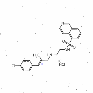 C/C(=C\c1ccc(Cl)cc1)CNCCNS(=O)(=O)c1cccc2cnccc12.Cl.Cl